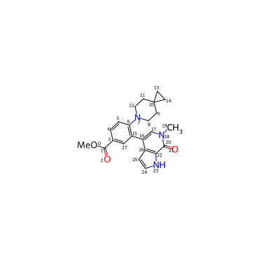 COC(=O)c1ccc(N2CCC3(CC2)CC3)c(-c2cn(C)c(=O)c3[nH]ccc23)c1